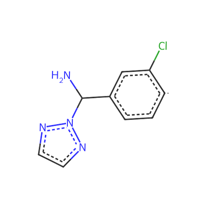 NC(c1cc[c]c(Cl)c1)n1nccn1